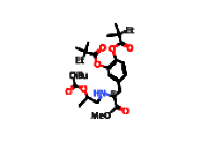 CCC(C)(C)C(=O)Oc1ccc(C[C@H](NCC(C)OC(=O)OCC(C)C)C(=O)OC)cc1OC(=O)C(C)(C)CC